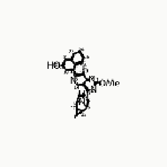 COc1nc(N2CC3NC(C2)C2CC32)c2cnc(-c3cc(O)cc4ccccc34)c(F)c2n1